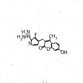 Cc1c(Cc2ccnc(N(N)N)c2F)c(=O)oc2cc(O)ccc12